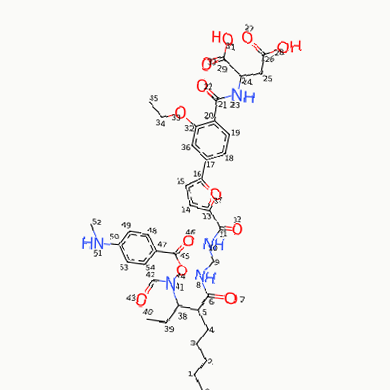 CCCCCC(C(=O)NCNC(=O)c1ccc(-c2ccc(C(=O)NC(CC(=O)O)C(=O)O)c(OCC)c2)o1)C(CC)N(C=O)OC(=O)c1ccc(NC)cc1